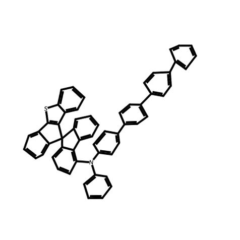 c1ccc(-c2ccc(-c3ccc(-c4ccc(N(c5ccccc5)c5cccc6c5-c5ccccc5C65c6ccccc6-c6sc7ccccc7c65)cc4)cc3)cc2)cc1